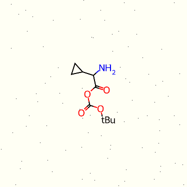 CC(C)(C)OC(=O)OC(=O)C(N)C1CC1